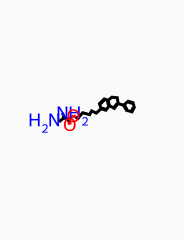 NCC(N)C(=O)OCCCCCc1ccc2c(c1)C=C(c1ccccc1)CC2